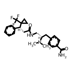 CN(C)[C@H](CNC(=O)C[C@H](c1ccccc1)C1(C(F)(F)F)CC1)Cc1ccc(C(N)=O)cc1